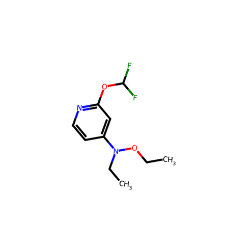 CCON(CC)c1ccnc(OC(F)F)c1